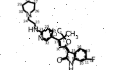 CC1(C)O/C(=C2/C(=O)Nc3cc(F)ccc32)C=C1c1ccc(NCCN2CCCCC2)nc1